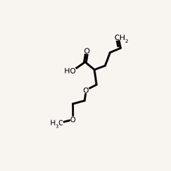 C=CCCC(COCCOC)C(=O)O